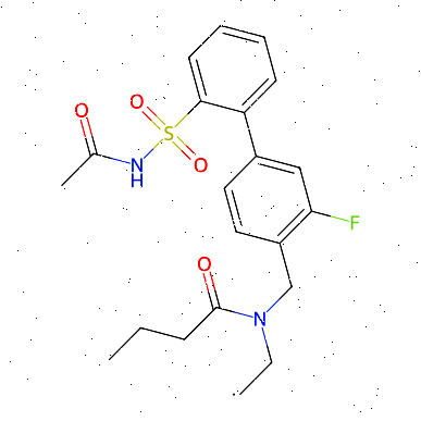 [CH2]CN(Cc1ccc(-c2ccccc2S(=O)(=O)NC(C)=O)cc1F)C(=O)CCC